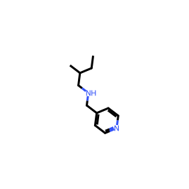 CCC(C)CNCc1ccncc1